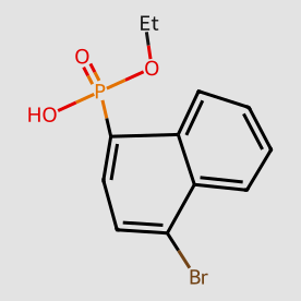 CCOP(=O)(O)c1ccc(Br)c2ccccc12